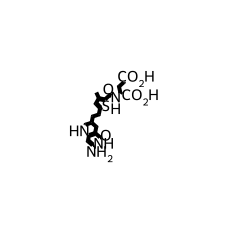 Cc1cc(CCC2CNc3cc(N)[nH]c(=O)c3C2)sc1C(=O)N[C@@H](CCC(=O)O)C(=O)O